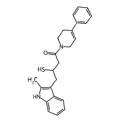 Cc1[nH]c2ccccc2c1CC(S)CC(=O)N1CC=C(c2ccccc2)CC1